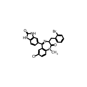 CN1C(=O)C(Cc2ccccc2Br)N=C(c2ccc3[nH]c(=O)[nH]c3c2)c2cc(Cl)ccc21